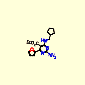 CCOC(=O)c1c(NCC2CCCC2)nc(N)nc1-c1ccco1